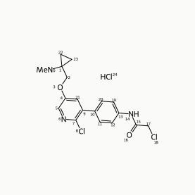 CNC1(COc2cnc(Cl)c(-c3ccc(NC(=O)CCl)cc3)c2)CC1.Cl